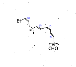 CC/C=C\C[C@H](C)/C=C/C=C\C=C\[C@@H](C)CC=O